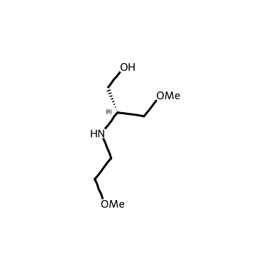 COCCN[C@H](CO)COC